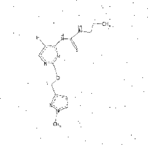 CCCNC(=S)Nc1nc(OCc2ccn(C)n2)ncc1F